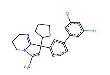 NC1=NC(c2cccc(-c3cc(Cl)cc(Cl)c3)c2)(C2CCCC2)C2=NCCCN12